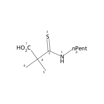 CCCCCNC(=S)C(C)(C)C(=O)O